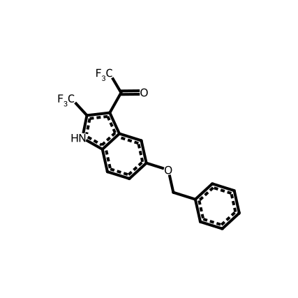 O=C(c1c(C(F)(F)F)[nH]c2ccc(OCc3ccccc3)cc12)C(F)(F)F